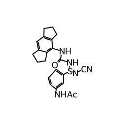 CC(=O)Nc1cccc(/S(=N/C#N)NC(=O)Nc2c3c(cc4c2CCC4)CCC3)c1